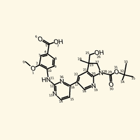 COc1cc(C(=O)O)ccc1Nc1nccc(-c2cnc3c(c2)C(C)(CO)CN3C(=O)OC(C)(C)C)n1